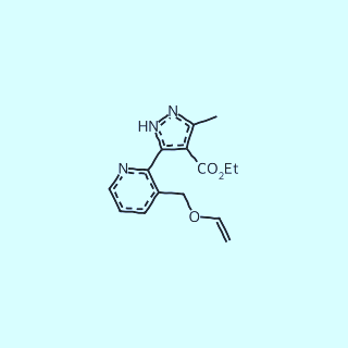 C=COCc1cccnc1-c1[nH]nc(C)c1C(=O)OCC